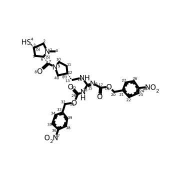 CN1C[C@@H](S)C[C@H]1C(=O)N1CC[C@H](CNC(=NC(=O)OCc2ccc([N+](=O)[O-])cc2)NC(=O)OCc2ccc([N+](=O)[O-])cc2)C1